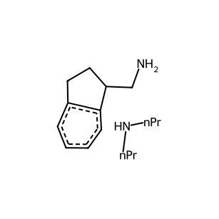 CCCNCCC.NCC1CCc2ccccc21